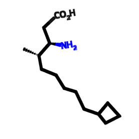 C[C@@H](CCCCCC1CCC1)[C@H](N)CC(=O)O